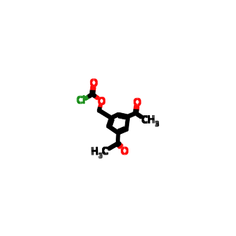 CC(=O)c1cc(COC(=O)Cl)cc(C(C)=O)c1